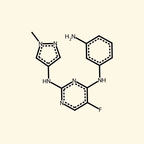 Cn1cc(Nc2ncc(F)c(Nc3cccc(N)c3)n2)cn1